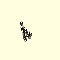 CS(=O)(=O)c1ccc(/C(=N\N2CCOCC2)C(=O)Nc2nc3ccc(OCCN4CCCC4)nc3s2)cc1